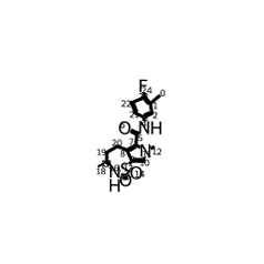 Cc1cc(NC(=O)c2c3c(cn2C)S(=O)(=O)N[C@@H](C)CC3)ccc1F